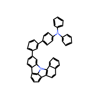 c1ccc(N(c2ccccc2)c2ccc(-c3cccc(-c4ccc5c6cccc7c8ccc9ccccc9c8n(c5c4)c67)c3)cc2)cc1